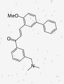 COc1ccc(-c2ccccc2)cc1C=CC(=O)c1cccc(CN(C)C)c1